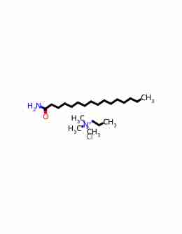 CCCCCCCCCCCCCCCC(N)=O.CCC[N+](C)(C)C.[Cl-]